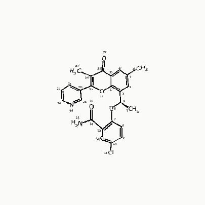 Cc1cc([C@@H](C)Oc2ccc(Cl)nc2C(N)=O)c2oc(-c3cccnc3)c(C)c(=O)c2c1